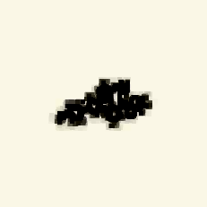 CC(C)(C)OC(=O)N[C@@H]1CCCN(C2CC(c3ccc(F)cc3)CC2n2ccc(C#N)n2)C1